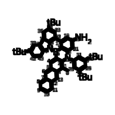 Cc1c2c(cc3cc4ccccc4cc13)B1c3c(cc(N)cc3N2c2cc(C(C)(C)C)cc(C(C)(C)C)c2)-c2cc(C(C)(C)C)cc3c4cc(C(C)(C)C)ccc4n1c23